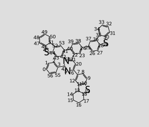 c1ccc(-c2nc(-c3ccc4c(c3)C3CCCCC3S4)cc(-c3cc(-c4ccc5sc6ccccc6c5c4)ccc3-c3ccc4sc5ccccc5c4c3)n2)cc1